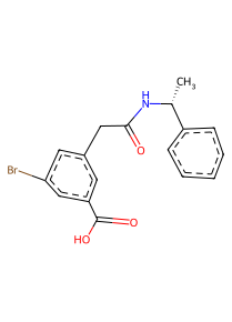 C[C@@H](NC(=O)Cc1cc(Br)cc(C(=O)O)c1)c1ccccc1